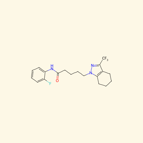 O=C(CCCCn1nc(C(F)(F)F)c2c1CCCC2)Nc1ccccc1F